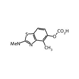 CNc1nc2c(C)c(OC(=O)O)ccc2s1